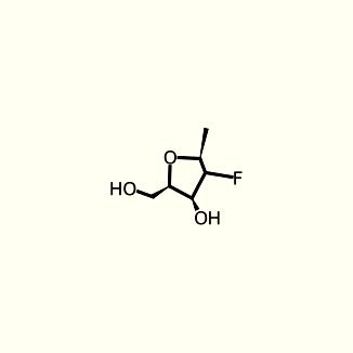 C[C@@H]1O[C@H](CO)[C@H](O)C1F